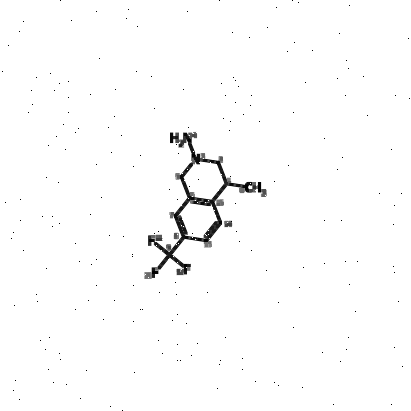 CC1CN(N)Cc2cc(C(F)(F)F)ccc21